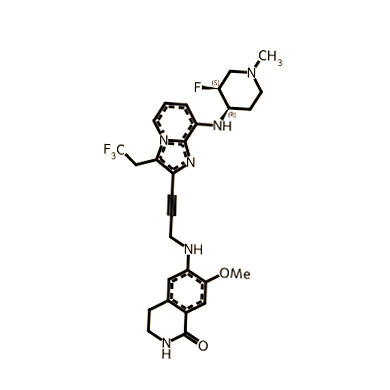 COc1cc2c(cc1NCC#Cc1nc3c(N[C@@H]4CCN(C)C[C@@H]4F)cccn3c1CC(F)(F)F)CCNC2=O